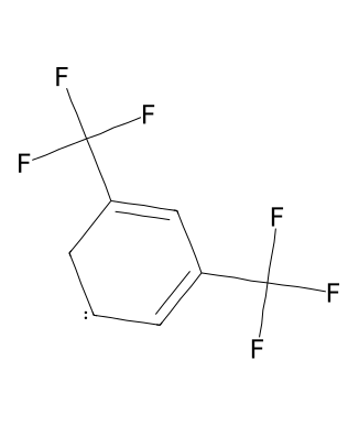 FC(F)(F)C1=C[C]CC(C(F)(F)F)=C1